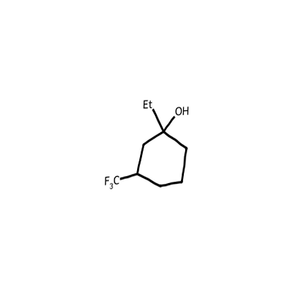 CCC1(O)CCCC(C(F)(F)F)C1